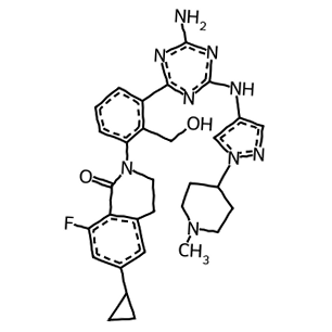 CN1CCC(n2cc(Nc3nc(N)nc(-c4cccc(N5CCc6cc(C7CC7)cc(F)c6C5=O)c4CO)n3)cn2)CC1